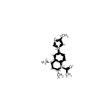 CC(=O)N1c2ccc(-n3cnc(C)c3)cc2[C@@H](N)C[C@H]1C